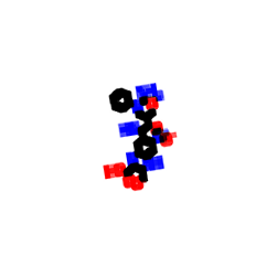 CC(CC(=N)c1cc2c(cc1[N+](=O)[O-])NC(C=O)C(C(=O)O)=N2)CN(C(N)=O)c1ccccc1